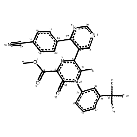 COC(=O)c1nc(-c2cncnc2-c2ccc(C#N)cc2)c(C)n(-c2cccc(C(F)(F)F)c2)c1=O